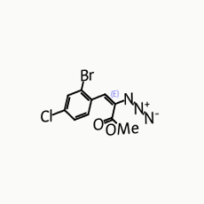 COC(=O)/C(=C\c1ccc(Cl)cc1Br)N=[N+]=[N-]